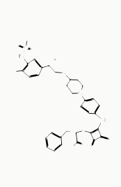 CS(=O)(=O)Nc1cc([C@H](O)CNC2CCN(c3ccc(Nc4c(N[C@H](Cc5ccccc5)C(=O)O)c(=O)c4=O)cc3)CC2)ccc1O